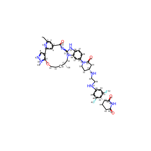 Cc1cc2cc(n1)-c1cnn(C)c1OCCC[C@@H](C)CN1/C(=N/C2=O)Nc2ccc(N3CC[C@@H](NCCNc4cc(F)c([C@H]5CCC(=O)NC5=O)c(F)c4)CC3=O)cc21